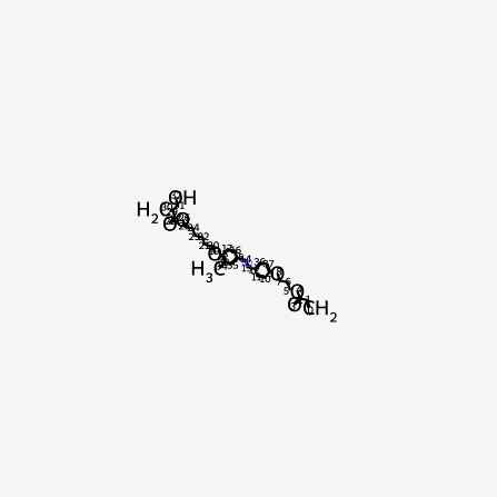 C=CC(=O)OCCCOc1ccc(/C=C/c2ccc(OCCCCCCOC(=O)C(=C)CO)c(C)c2)cc1